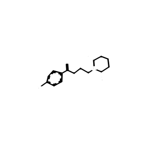 C[C@@H]1CCC[C@H](C)N1CCCC(=O)c1ccc(Br)cc1